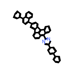 c1ccc(-c2ccc(-c3cnc(-c4c5ccccc5c5c6c(cccc46)-c4cc(-c6ccc(-c7ccccc7)c7ccccc67)ccc4-5)nc3)cc2)cc1